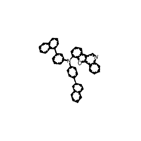 c1cc(-c2cccc3ccccc23)cc(N(c2ccc(-c3ccc4ccccc4c3)cc2)c2cccc3c2oc2c4ccccc4ncc32)c1